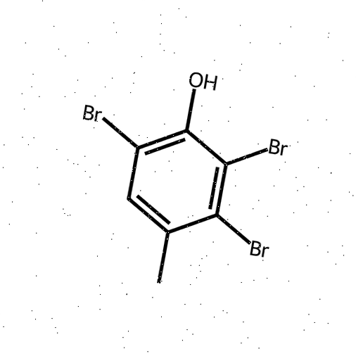 Cc1cc(Br)c(O)c(Br)c1Br